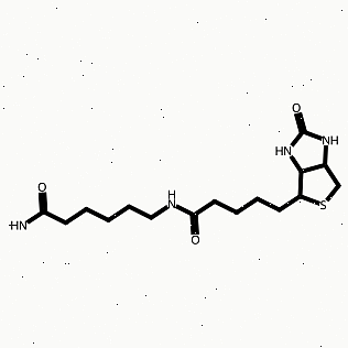 [NH]C(=O)CCCCCNC(=O)CCCCC1SCC2NC(=O)NC21